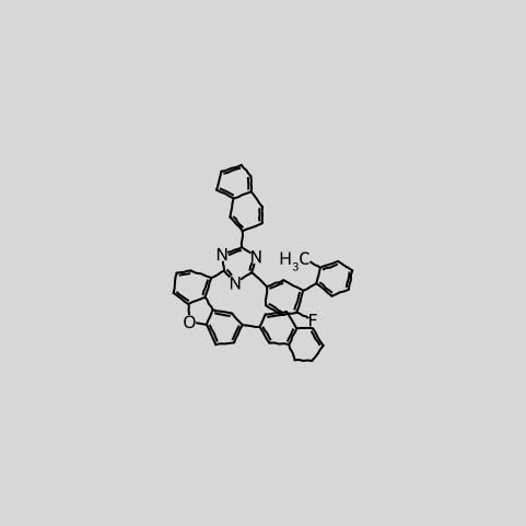 Cc1ccccc1-c1cc(-c2nc(-c3ccc4ccccc4c3)nc(-c3cccc4oc5ccc(-c6ccc7c(c6)CCC=C7)cc5c34)n2)ccc1F